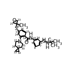 CC(C)(C)NSc1cccc(NC(=O)c2ccc(SC3(C)COC3)cc2N2CCC3(CC2)CC3)c1